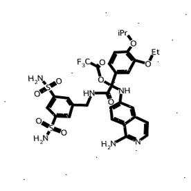 CCOc1cc(C(Nc2ccc3c(N)nccc3c2)(OC(=O)C(F)(F)F)C(=O)NCc2cc(S(N)(=O)=O)cc(S(N)(=O)=O)c2)ccc1OC(C)C